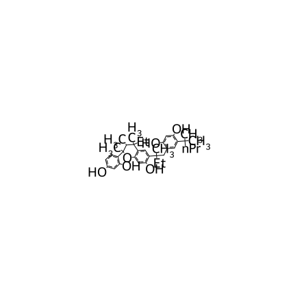 CCCC(C)(C)c1cc(CC(C)(CC)c2cc3c(cc2O)OC(C)(c2ccc(O)cc2O)C(C)C3(C)CC)c(O)cc1O